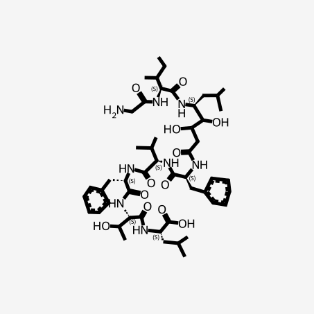 CCC(C)[C@H](NC(=O)CN)C(=O)N[C@@H](CC(C)C)C(O)C(O)CC(=O)N[C@@H](Cc1ccccc1)C(=O)N[C@H](C(=O)N[C@@H](Cc1ccccc1)C(=O)N[C@H](C(=O)N[C@@H](CC(C)C)C(=O)O)C(C)O)C(C)C